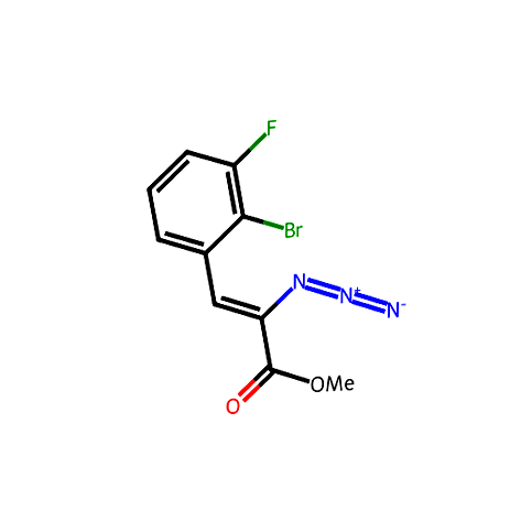 COC(=O)/C(=C/c1cccc(F)c1Br)N=[N+]=[N-]